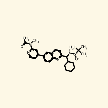 CC(=O)N(C)c1cc(-c2ccc3nc(C(N[S+]([O-])C(C)(C)C)C4CCCCC4)ccc3c2)ccn1